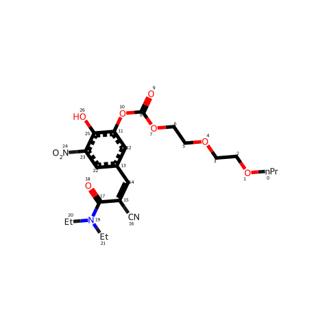 CCCOCCOCCOC(=O)Oc1cc(C=C(C#N)C(=O)N(CC)CC)cc([N+](=O)[O-])c1O